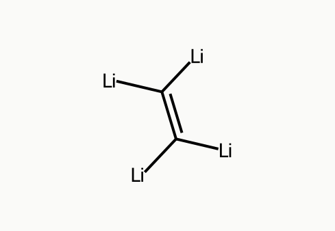 [Li][C]([Li])=[C]([Li])[Li]